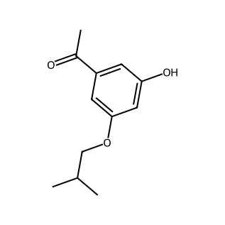 CC(=O)c1cc(O)cc(OCC(C)C)c1